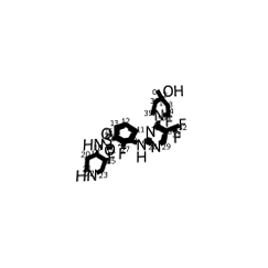 CC1(O)CCN(c2nc(Nc3cccc(S(=O)(=O)N[C@@H]4CCNC[C@@H]4F)c3F)ncc2C(F)(F)F)CC1